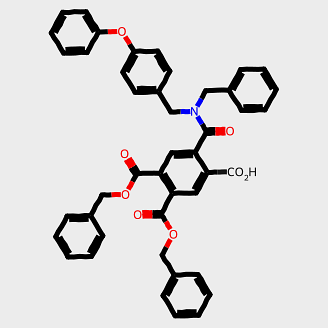 O=C(O)c1cc(C(=O)OCc2ccccc2)c(C(=O)OCc2ccccc2)cc1C(=O)N(Cc1ccccc1)Cc1ccc(Oc2ccccc2)cc1